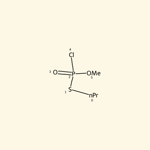 CCCSP(=O)(Cl)OC